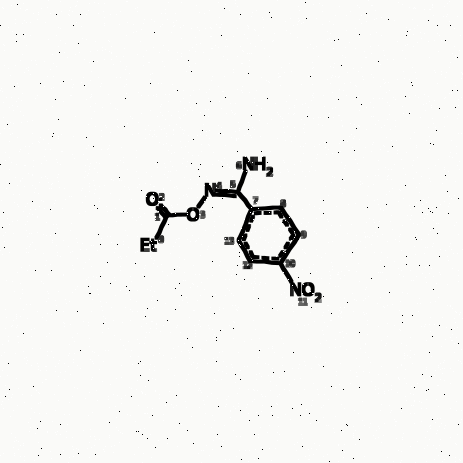 CCC(=O)O/N=C(/N)c1ccc([N+](=O)[O-])cc1